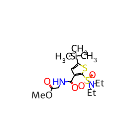 CCN(CC)S(=O)(=O)c1sc([Si](C)(C)C)cc1C(=O)NCC(=O)OC